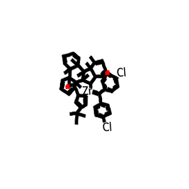 CCC1C=C(C(C)(C)C)C=[C]1[Zr](=[C](c1ccc(Cl)cc1)c1ccc(Cl)cc1)[CH]1C2C=CC=C(C)C2(C)C2(C)C3(C)C=CC=CC3(C)C3(C)C=CC=CC3(C)C12C